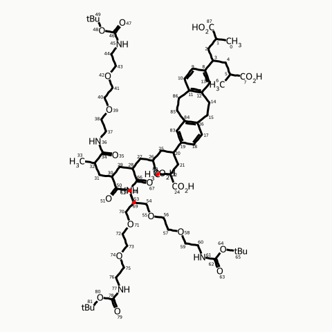 CC(CC(CC(C)C(=O)O)c1ccc2c(c1)CCc1ccc(C(CC(C)C(=O)O)CC(CC(CC(CC(C)C(=O)NCCOCCOCCNC(=O)OC(C)(C)C)C(=O)NCCOCCOCCNC(=O)OC(C)(C)C)C(=O)NCCOCCOCCNC(=O)OC(C)(C)C)C(=O)O)cc1CC2)C(=O)O